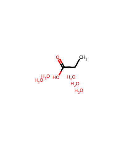 CCC(=O)O.O.O.O.O.O